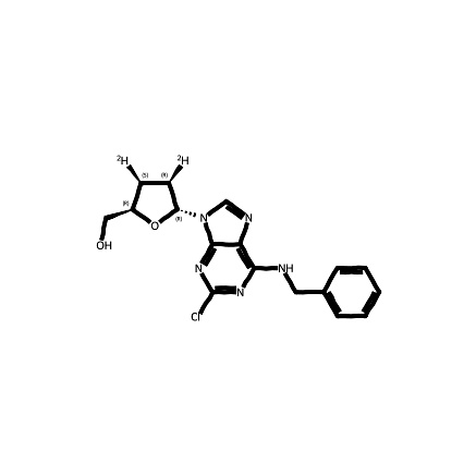 [2H][C@@H]1[C@H]([2H])[C@H](CO)O[C@H]1n1cnc2c(NCc3ccccc3)nc(Cl)nc21